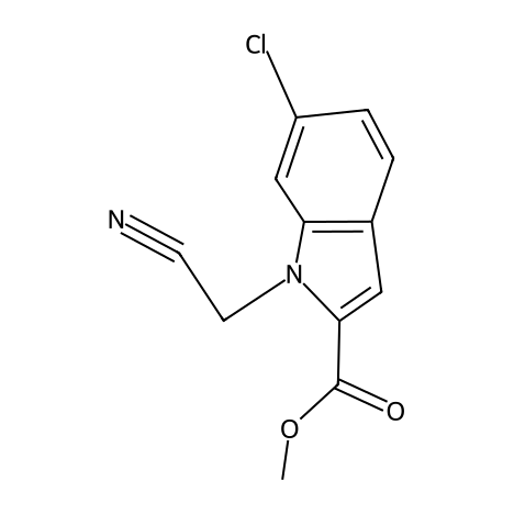 COC(=O)c1cc2ccc(Cl)cc2n1CC#N